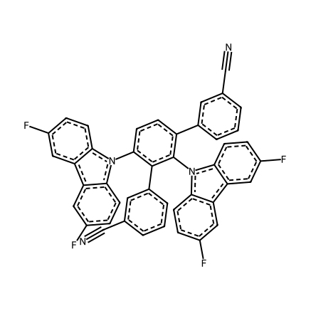 N#Cc1cccc(-c2ccc(-n3c4ccc(F)cc4c4cc(F)ccc43)c(-c3cccc(C#N)c3)c2-n2c3ccc(F)cc3c3cc(F)ccc32)c1